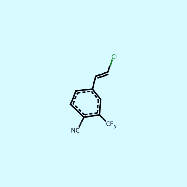 N#Cc1ccc(C=CCl)cc1C(F)(F)F